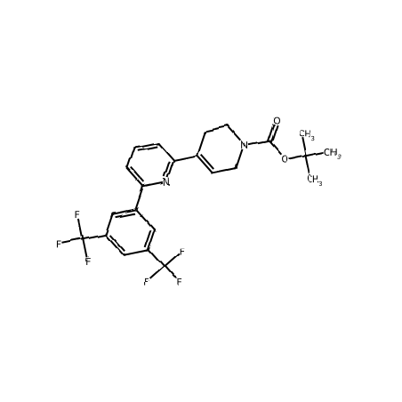 CC(C)(C)OC(=O)N1CC=C(c2cccc(-c3cc(C(F)(F)F)cc(C(F)(F)F)c3)n2)CC1